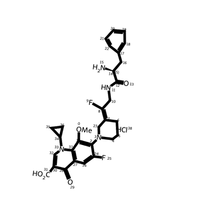 COc1c(N2CCCC(=C(F)CNC(=O)[C@@H](N)Cc3ccccc3)C2)c(F)cc2c(=O)c(C(=O)O)cn(C3CC3)c12.Cl